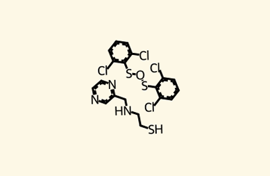 Clc1cccc(Cl)c1SOSc1c(Cl)cccc1Cl.SCCNCc1cnccn1